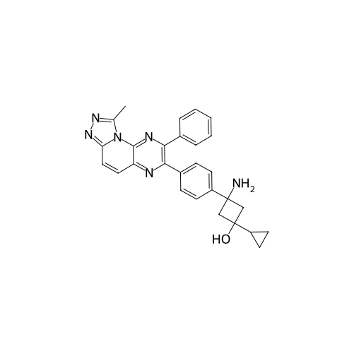 Cc1nnc2ccc3nc(-c4ccc(C5(N)CC(O)(C6CC6)C5)cc4)c(-c4ccccc4)nc3n12